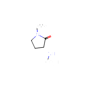 CON1CC[C@@H](NC(=O)O)C1=O